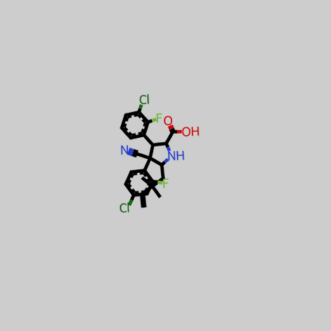 C=CC(C)(C)CC1NC(C(=O)O)C(c2cccc(Cl)c2F)C1(C#N)c1ccc(Cl)cc1F